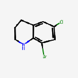 Clc1cc(Br)c2c(c1)CCCN2